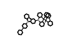 CC1(C2(c3ccccc3)c3ccccc3N(c3ccc4c(c3)c3ccccc3n4-c3ccc(-c4ccccc4)cc3)c3ccccc32)c2ccccc2-c2ccccc21